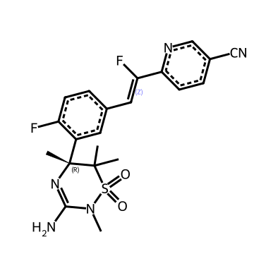 CN1C(N)=N[C@](C)(c2cc(/C=C(\F)c3ccc(C#N)cn3)ccc2F)C(C)(C)S1(=O)=O